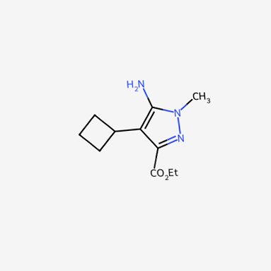 CCOC(=O)c1nn(C)c(N)c1C1CCC1